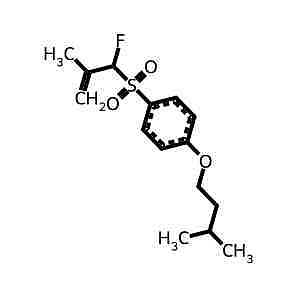 C=C(C)C(F)S(=O)(=O)c1ccc(OCCC(C)C)cc1